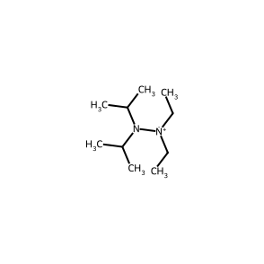 CC[N+](CC)N(C(C)C)C(C)C